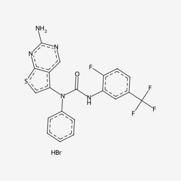 Br.Nc1ncc2c(N(C(=O)Nc3cc(C(F)(F)F)ccc3F)c3ccccc3)csc2n1